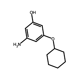 Nc1cc(O)cc(OC2CCCCC2)c1